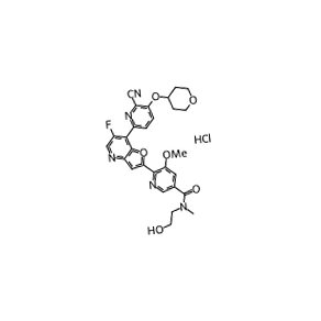 COc1cc(C(=O)N(C)CCO)cnc1-c1cc2ncc(F)c(-c3ccc(OC4CCOCC4)c(C#N)n3)c2o1.Cl